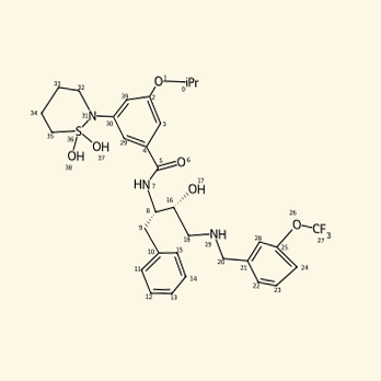 CC(C)Oc1cc(C(=O)N[C@@H](Cc2ccccc2)[C@H](O)CNCc2cccc(OC(F)(F)F)c2)cc(N2CCCCS2(O)O)c1